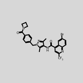 Cc1nn(Cc2ccc(C(=O)N3CCC3)cc2)c(C)c1NC(=O)c1cc(C(F)(F)F)nc2ccc(Br)cc12